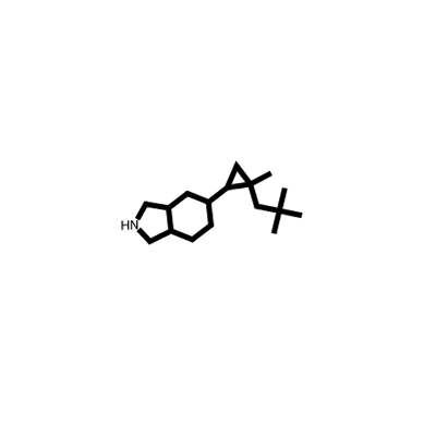 CC(C)(C)CC1(C)CC1C1CCC2CNCC2C1